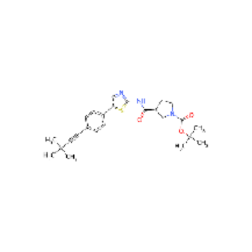 CC(C)(C)C#Cc1ccc(-c2cnc(NC(=O)[C@H]3CCN(C(=O)OC(C)(C)C)C3)s2)cc1